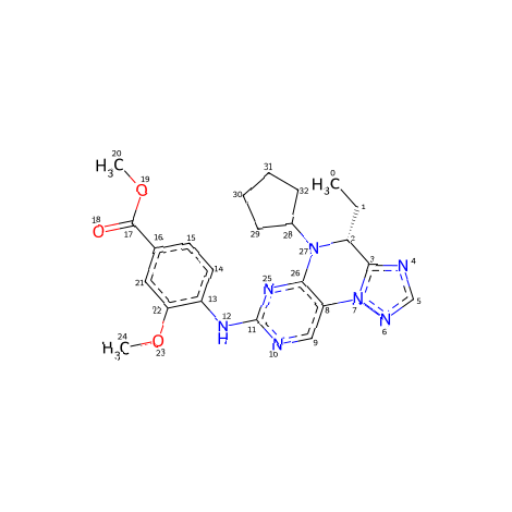 CC[C@@H]1c2ncnn2-c2cnc(Nc3ccc(C(=O)OC)cc3OC)nc2N1C1CCCC1